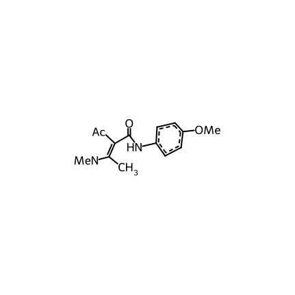 CNC(C)=C(C(C)=O)C(=O)Nc1ccc(OC)cc1